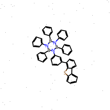 c1ccc(B2N(c3ccccc3)B(c3ccccc3)N(c3cccc(-c4cccc5c4sc4ccccc45)c3)B(c3ccccc3)N2c2ccccc2)cc1